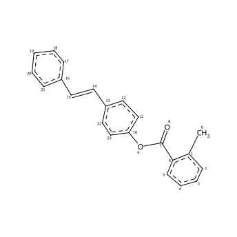 Cc1ccccc1C(=O)Oc1ccc(/C=C/c2ccccc2)cc1